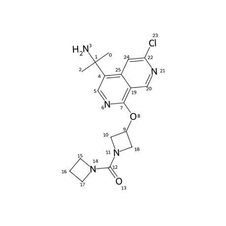 CC(C)(N)c1cnc(OC2CN(C(=O)N3CCC3)C2)c2cnc(Cl)cc12